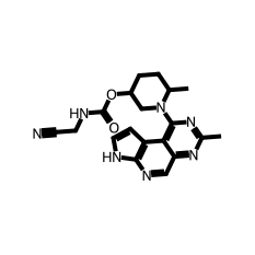 Cc1nc(N2CC(OC(=O)NCC#N)CCC2C)c2c(cnc3[nH]ccc32)n1